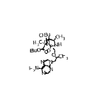 CC(C)COC(=O)[C@H](C)NP(=O)(COC(C)Cn1cnc2c(N)ncnc21)N[C@H](C)C(=O)OCC(C)C